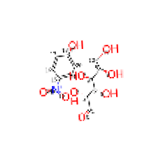 O=C[C@H](O)[C@@H](O)[C@@H](O)[C@H](O)CO.O=[N+]([O-])c1ccc(O)cc1